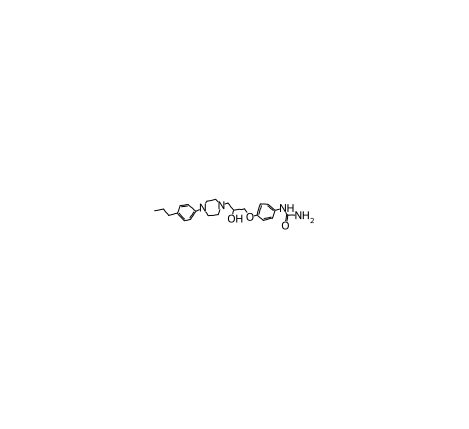 CCCc1ccc(N2CCN(CC(O)COc3ccc(NC(N)=O)cc3)CC2)cc1